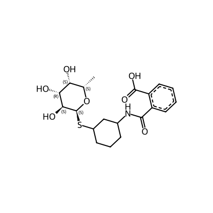 C[C@@H]1O[C@@H](SC2CCCC(NC(=O)c3ccccc3C(=O)O)C2)[C@@H](O)[C@H](O)[C@@H]1O